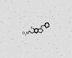 O=[N+]([O-])[CH]Cc1cc2c(cc1F)N(Cc1ccccc1)CC2